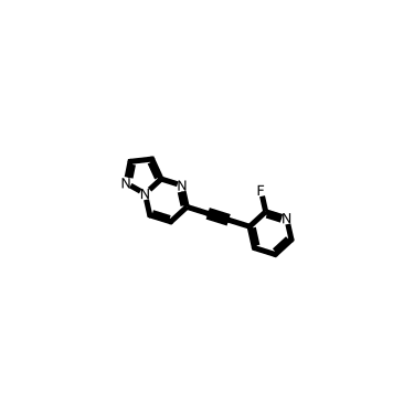 Fc1ncccc1C#Cc1ccn2nccc2n1